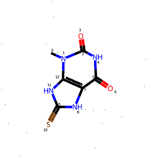 Cn1c(=O)[nH]c(=O)c2[nH]c(=S)[nH]c21